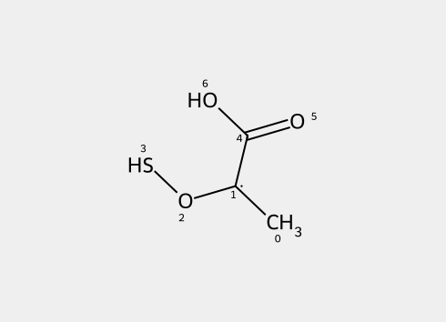 C[C](OS)C(=O)O